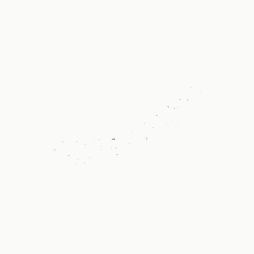 C[C@]12C=CC(=O)C=C1CC[C@H]1[C@@H]3C[C@@H](O)[C@](O)(C(=O)COC(=O)C(N)COC(=O)c4cccc(CCO[N+](=O)[O-])c4)[C@@]3(C)C[C@H](O)[C@@]12F